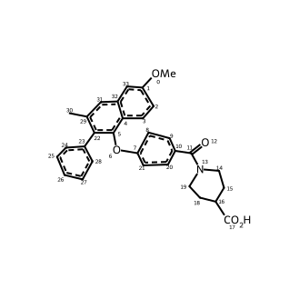 COc1ccc2c(Oc3ccc(C(=O)N4CCC(C(=O)O)CC4)cc3)c(-c3ccccc3)c(C)cc2c1